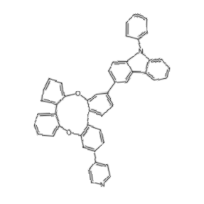 c1ccc(-n2c3ccccc3c3cc(-c4ccc5c(c4)Oc4ccccc4-c4ccccc4Oc4cc(-c6ccncc6)ccc4-5)ccc32)cc1